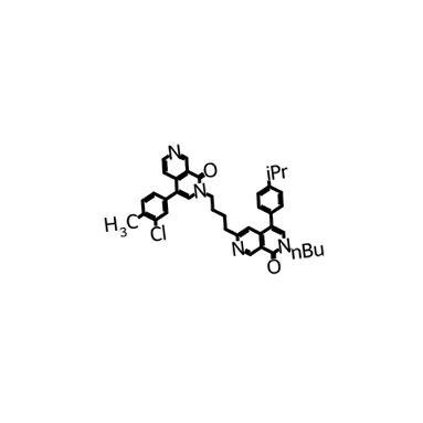 CCCCn1cc(-c2ccc(C(C)C)cc2)c2cc(CCCCn3cc(-c4ccc(C)c(Cl)c4)c4ccncc4c3=O)ncc2c1=O